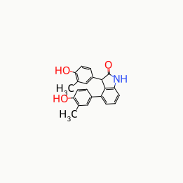 Cc1cc(-c2cccc3c2C(c2ccc(O)c(C)c2)C(=O)N3)ccc1O